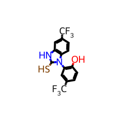 Oc1ccc(C(F)(F)F)cc1N1c2ccc(C(F)(F)F)cc2NC1S